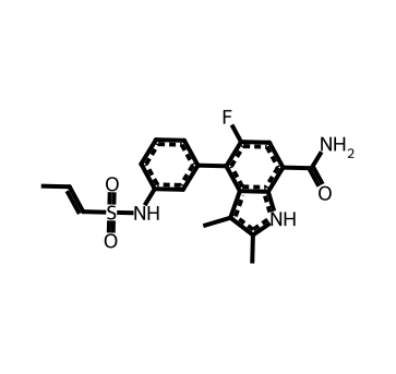 CC=CS(=O)(=O)Nc1cccc(-c2c(F)cc(C(N)=O)c3[nH]c(C)c(C)c23)c1